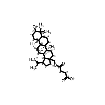 C=C(C)C1CCC2(COC(=O)CCC(=O)O)CC[C@@]3(C)C(CCC4[C@@]5(C)CCC(O)C(C)(C)C5CC[C@]43C)C12